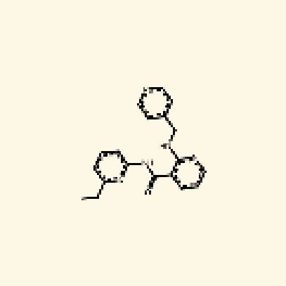 CCc1cccc(NC(=O)c2cccnc2NCc2ccncc2)n1